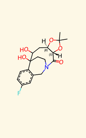 CC1(C)O[C@@H]2C(=O)N3CCC(O)(c4ccc(F)cc4C3)C(O)C[C@H]2O1